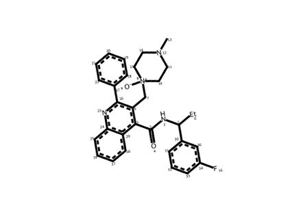 CCC(NC(=O)c1c(C[N+]2([O-])CCN(C)CC2)c(-c2ccccc2)nc2ccccc12)c1cccc(F)c1